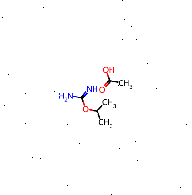 CC(=O)O.CC(C)OC(=N)N